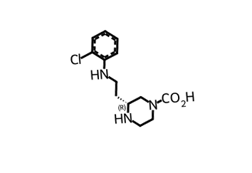 O=C(O)N1CCN[C@H](CCNc2ccccc2Cl)C1